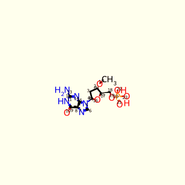 CO[C@H]1C[C@H](n2cnc3c(=O)[nH]c(N)nc32)O[C@@H]1COP(=O)(O)O